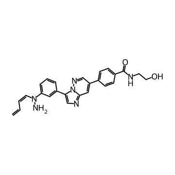 C=C/C=C\N(N)c1cccc(-c2cnc3cc(-c4ccc(C(=O)NCCO)cc4)cnn23)c1